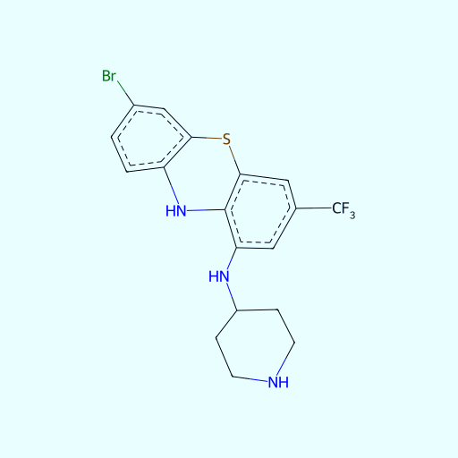 FC(F)(F)c1cc(NC2CCNCC2)c2c(c1)Sc1cc(Br)ccc1N2